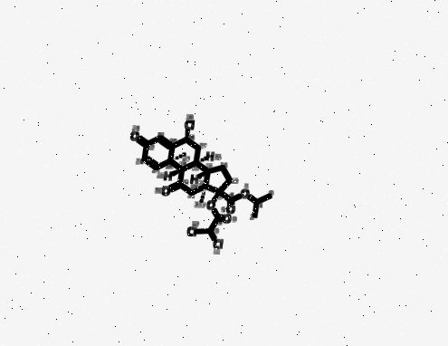 CC(C)OC(=O)[C@@]1(OC(=O)C(Cl)Cl)CC[C@H]2[C@@H]3C[C@H](Cl)C4=CC(=O)C=C[C@]4(C)[C@H]3C(=O)C[C@@]21C